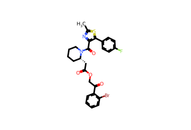 Cc1nc(C(=O)N2CCCC[C@H]2CC(=O)OCC(=O)c2ccccc2Br)c(-c2ccc(F)cc2)s1